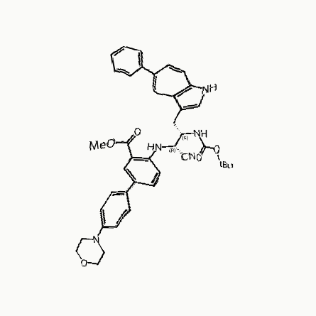 COC(=O)c1cc(-c2ccc(N3CCOCC3)cc2)ccc1N[C@@H](C#N)[C@H](Cc1c[nH]c2ccc(-c3ccccc3)cc12)NC(=O)OC(C)(C)C